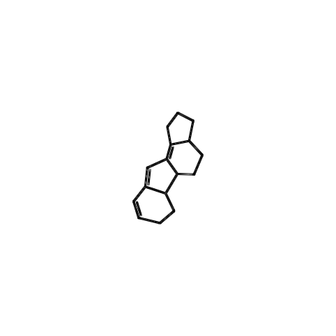 C1=CC2=CC3=C4CCCC4CCC3C2CC1